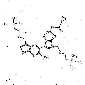 COc1nc2ncn(COCC[Si](C)(C)C)c2cc1-c1cn(COCC[Si](C)(C)C)c2nc(NC(=O)C3CC3)ccc12